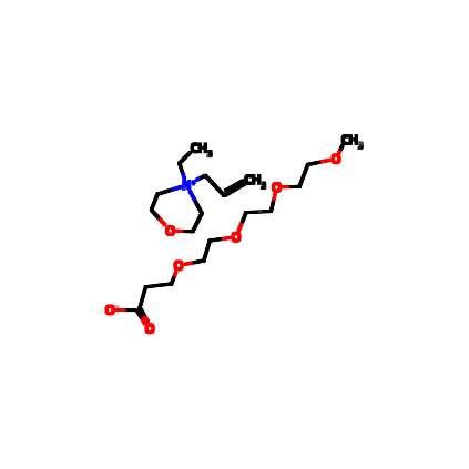 C=CC[N+]1(CC)CCOCC1.COCCOCCOCCOCCC(=O)[O-]